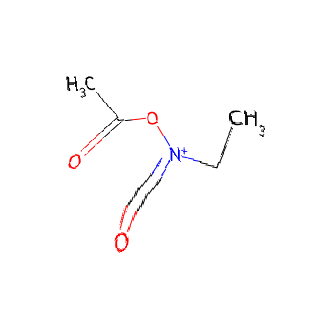 CC[N+](=C=O)OC(C)=O